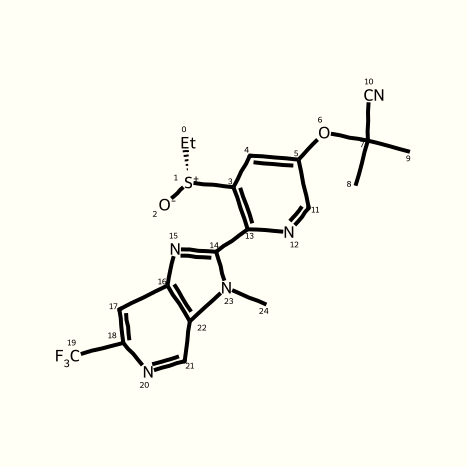 CC[S@@+]([O-])c1cc(OC(C)(C)C#N)cnc1-c1nc2cc(C(F)(F)F)ncc2n1C